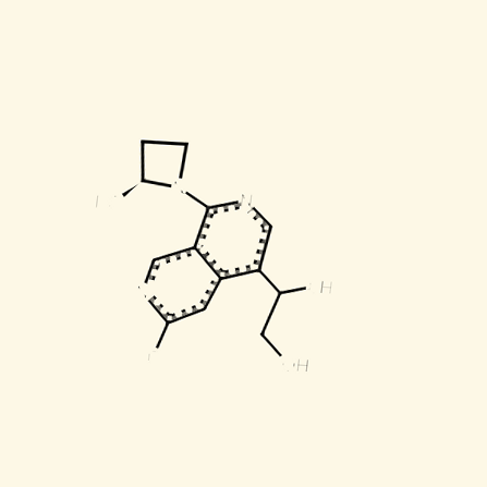 CC(CO)c1cnc(N2CC[C@@H]2C)c2cnc(Cl)cc12